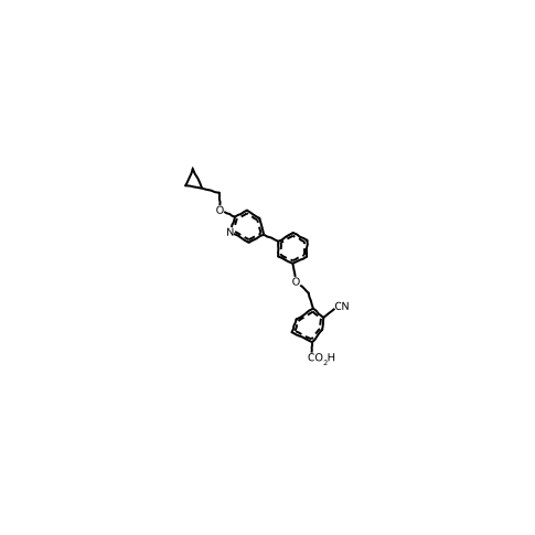 N#Cc1cc(C(=O)O)ccc1COc1cccc(-c2ccc(OCC3CC3)nc2)c1